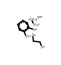 CCCCCCCCc1ccccc1O.O.O=S(=O)(O)O.OCCO.[NaH]